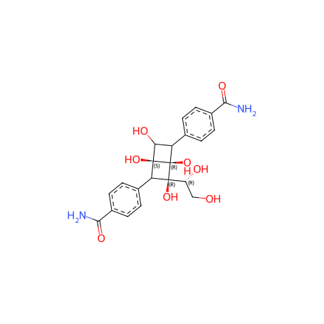 NC(=O)c1ccc(C2C(O)[C@@]3(O)C(c4ccc(C(N)=O)cc4)[C@@](O)([C@H](O)CO)[C@@]23O)cc1